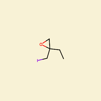 CCC1(CI)CO1